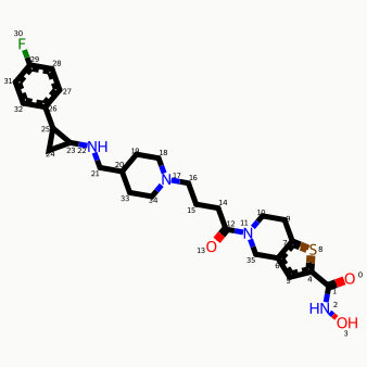 O=C(NO)c1cc2c(s1)CCN(C(=O)CCCN1CCC(CNC3CC3c3ccc(F)cc3)CC1)C2